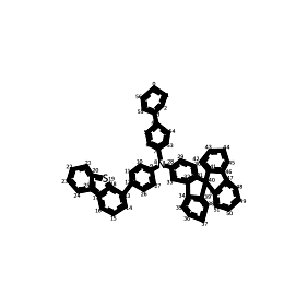 c1ccc(-c2ccc(N(c3ccc(-c4cccc5c4sc4ccccc45)cc3)c3ccc4c(c3)-c3ccccc3C43c4ccccc4-c4ccccc43)cc2)cc1